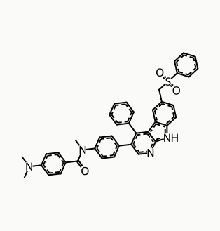 CN(C)c1ccc(C(=O)N(C)c2ccc(-c3cnc4[nH]c5ccc(CS(=O)(=O)c6ccccc6)cc5c4c3-c3ccccc3)cc2)cc1